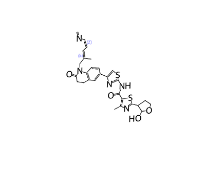 C=N/C=C\C=C(/C)CN1C(=O)CCc2cc(-c3csc(NC(=O)c4sc(C5CCOC5O)nc4C)n3)ccc21